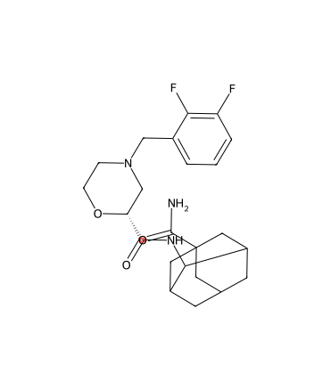 NC(=O)C12CC3CC(C1)C(NC(=O)[C@H]1CN(Cc4cccc(F)c4F)CCO1)C(C3)C2